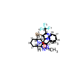 Cn1nc(C(F)(F)F)c(Br)c1C(=O)N1[C@@H]2CCC[C@H]1c1nn(C)c(-c3ccccc3)c1C2